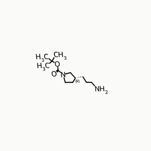 CC(C)(C)OC(=O)N1CC[C@@H](CCCN)C1